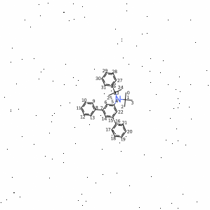 CC(C)(C)N(c1cc(-c2ccccc2)cc(-c2ccccc2)c1)C(C)(C)c1ccccc1